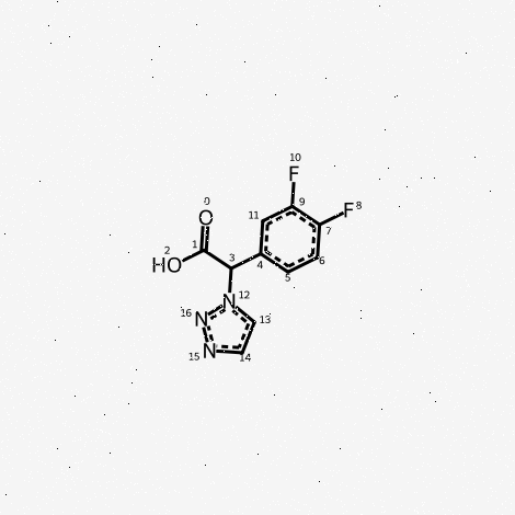 O=C(O)C(c1ccc(F)c(F)c1)n1ccnn1